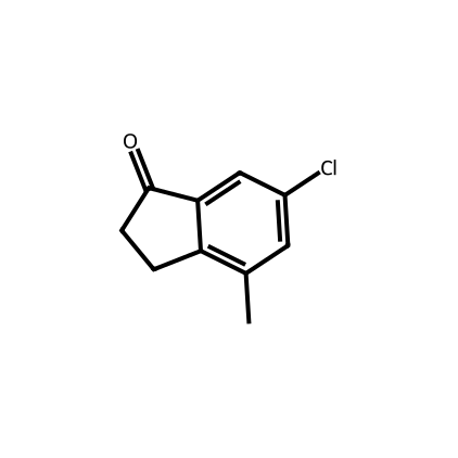 Cc1cc(Cl)cc2c1CCC2=O